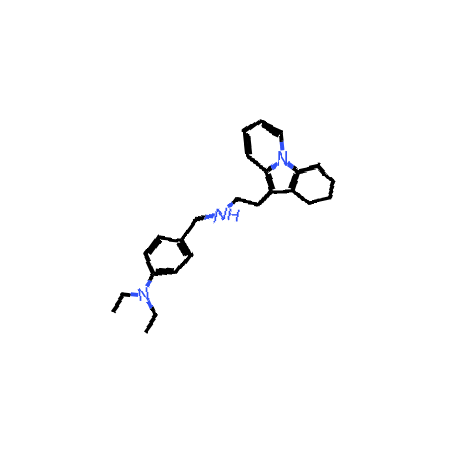 CCN(CC)c1ccc(CNCCc2c3c(n4ccccc24)CCCC3)cc1